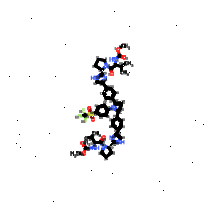 COC(=O)NC(C(=O)N1CCC[C@H]1c1nc(-c2ccc(-c3ccc(-c4ccc(-c5c[nH]c([C@@H]6CCCN6C(=O)[C@@H](NC(=O)OC)C(C)C)n5)cc4)n3-c3ccc(S(=O)(=O)C(F)(F)F)cc3)cc2)c[nH]1)C(C)C